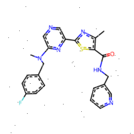 Cc1nc(-c2cncc(N(C)Cc3ccc(F)cc3)n2)sc1C(=O)NCc1cccnc1